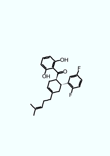 CC(C)=CCCC1=CC[C@@H](C(=O)c2c(O)cccc2O)[C@H](c2cc(F)ccc2F)C1